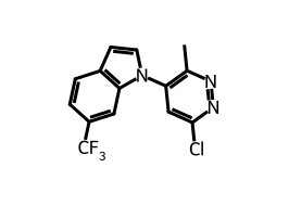 Cc1nnc(Cl)cc1-n1ccc2ccc(C(F)(F)F)cc21